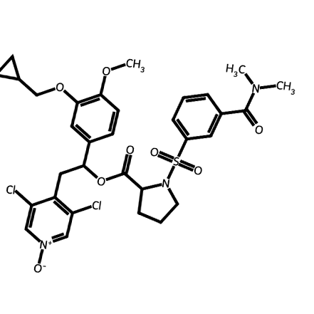 COc1ccc(C(Cc2c(Cl)c[n+]([O-])cc2Cl)OC(=O)C2CCCN2S(=O)(=O)c2cccc(C(=O)N(C)C)c2)cc1OCC1CC1